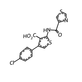 O=C(Nc1scc(-c2ccc(Cl)cc2)c1C(=O)O)c1cscn1